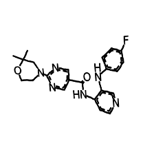 CC1(C)CN(c2ncc(C(=O)Nc3ccncc3Nc3ccc(F)cc3)cn2)CCO1